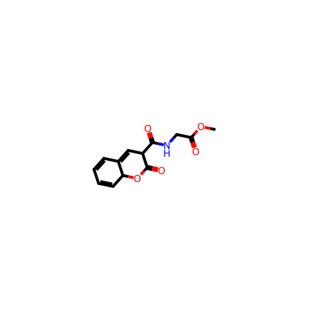 COC(=O)CNC(=O)C1C=C2C=CC=CC2OC1=O